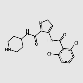 O=C(NC1CCNCC1)C1=NCC=C1NC(=O)c1c(Cl)cccc1Cl